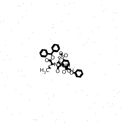 C=C=C(C(=O)OC(c1ccccc1)c1ccccc1)N1C(=O)[C@@H](NC(=O)COc2ccccc2)[C@H]1SS(=O)(=O)c1ccc(C)cc1